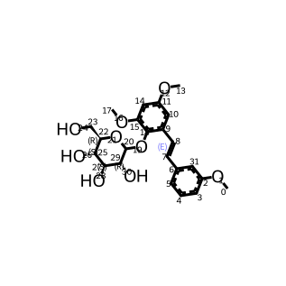 COc1cccc(/C=C/c2cc(OC)cc(OC)c2OC2O[C@H](CO)[C@@H](O)[C@H](O)[C@H]2O)c1